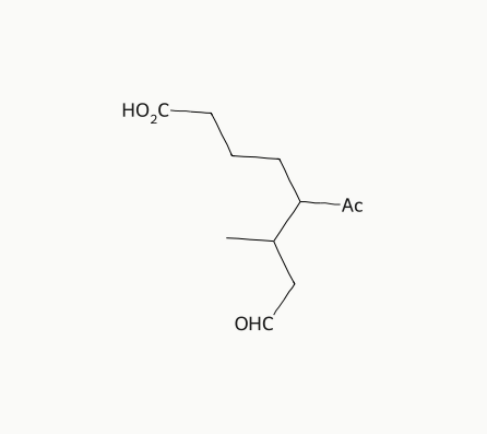 CC(=O)C(CCCC(=O)O)C(C)CC=O